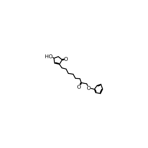 O=C(CCCCCCC1=CC(O)CC1=O)COc1ccccc1